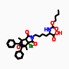 CCCCOC(=O)NC(CCCCN1C(=O)C2C3(C)C(=O)C(C)(C(c4ccccc4)=C3c3ccccc3)C2(Br)C1=O)C(=O)O